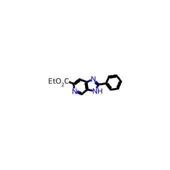 CCOC(=O)c1cc2nc(-c3ccccc3)[nH]c2cn1